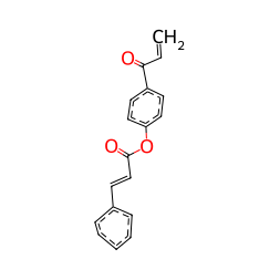 C=CC(=O)c1ccc(OC(=O)C=Cc2ccccc2)cc1